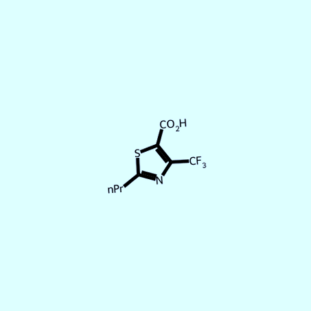 CCCc1nc(C(F)(F)F)c(C(=O)O)s1